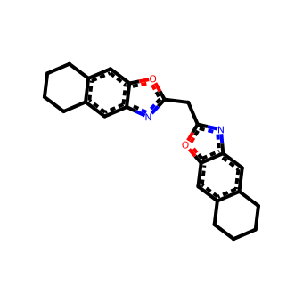 c1c2c(cc3oc(Cc4nc5cc6c(cc5o4)CCCC6)nc13)CCCC2